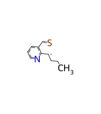 CCC[CH]c1ncccc1C=S